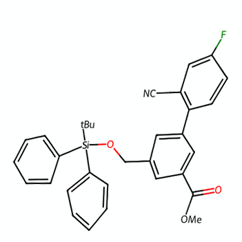 COC(=O)c1cc(CO[Si](c2ccccc2)(c2ccccc2)C(C)(C)C)cc(-c2ccc(F)cc2C#N)c1